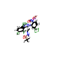 CC(C)(C)[S@@+]([O-])/N=C/C[C@@H](Nc1cc(Cl)ccc1[N+](=O)[O-])c1c(Br)ccc(F)c1F